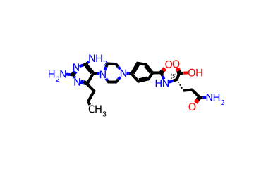 CCCc1nc(N)nc(N)c1N1CCN(c2ccc(C(=O)N[C@@H](CCC(N)=O)C(=O)O)cc2)CC1